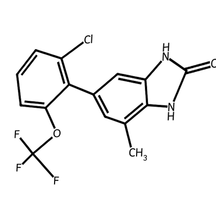 Cc1cc(-c2c(Cl)cccc2OC(F)(F)F)cc2[nH]c(=O)[nH]c12